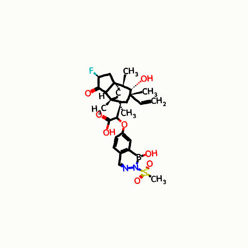 C=C[C@]1(C)C[C@@H](C(Oc2ccc3c(c2)B(O)N(S(C)(=O)=O)N=C3)C(=O)O)[C@@]2(C)[C@H](C)CC[C@]3(C[C@H](F)C(=O)[C@H]32)[C@@H](C)[C@@H]1O